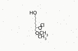 Cc1ccc(CC(CCCCCCCCO)c2cccc(Cl)c2)cc1C